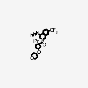 CC(C)[C@]1(C(=O)N2Cc3cc(C(F)(F)F)ccc3C(N=[N+]=[N-])C2)CC[C@@H](OC2CCOCC2)C1